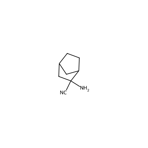 N#CC1(N)CC2CCC1C2